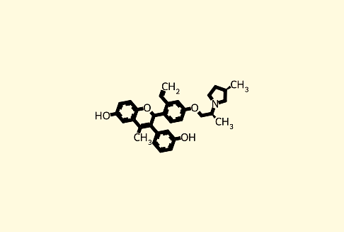 C=Cc1cc(OC[C@H](C)N2CC[C@@H](C)C2)ccc1C1Oc2ccc(O)cc2C(C)=C1c1cccc(O)c1